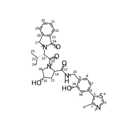 Cc1ncsc1-c1ccc(CNC(=O)C2CC(O)CN2C(=O)[C@H](C(C)C)N2Cc3ccccc3C2=O)c(O)c1